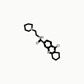 O=C(NCCN1CCCCC1)c1ccc2c(Cl)c3c(nc2c1)CCCC3